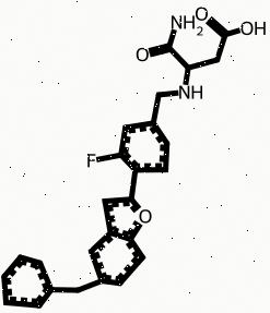 NC(=O)C(CC(=O)O)NCc1ccc(-c2cc3cc(Cc4ccccc4)ccc3o2)c(F)c1